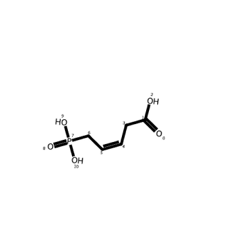 O=C(O)C/C=C\CP(=O)(O)O